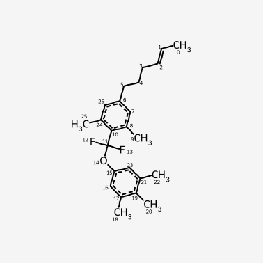 C/C=C/CCCc1cc(C)c(C(F)(F)Oc2cc(C)c(C)c(C)c2)c(C)c1